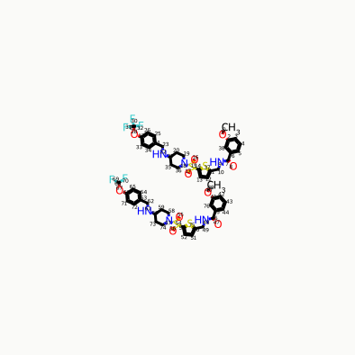 COc1cccc(C(=O)NCc2ccc(S(=O)(=O)N3CCC(NCc4ccc(OC(F)(F)F)cc4)CC3)s2)c1.COc1cccc(C(=O)NCc2ccc(S(=O)(=O)N3CCC(NCc4ccc(OC(F)F)cc4)CC3)s2)c1